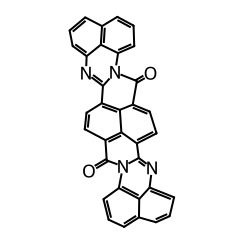 O=c1c2ccc3c4c(ccc(c24)c2nc4cccc5cccc(c54)n12)c(=O)n1c2cccc4cccc(nc31)c42